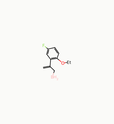 BCC(=C)c1cc(F)ccc1OCC